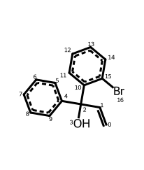 C=CC(O)(c1ccccc1)c1ccccc1Br